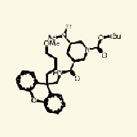 CCN(C(C)=O)[C@@H]1C[C@H](C(=O)NCC2(CCCCOC)c3ccccc3Oc3ccccc32)CN(C(=O)OC(C)(C)C)C1